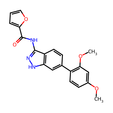 COc1ccc(-c2ccc3c(NC(=O)c4ccco4)n[nH]c3c2)c(OC)c1